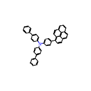 c1ccc(-c2ccc(N(c3ccc(-c4ccccc4)cc3)c3ccc(-c4ccc5ccc6cccc7ccc4c5c67)cc3)cc2)cc1